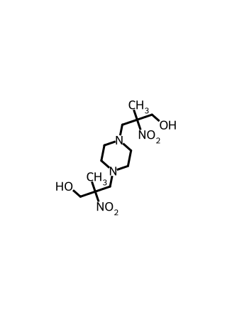 CC(CO)(CN1CCN(CC(C)(CO)[N+](=O)[O-])CC1)[N+](=O)[O-]